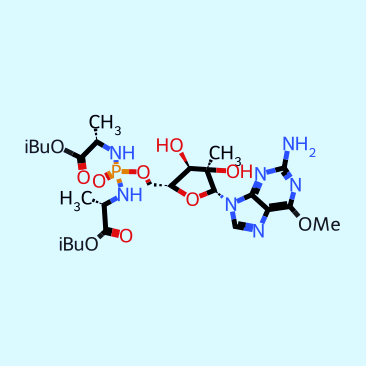 COc1nc(N)nc2c1ncn2[C@@H]1O[C@H](COP(=O)(N[C@@H](C)C(=O)OCC(C)C)N[C@@H](C)C(=O)OCC(C)C)[C@@H](O)[C@@]1(C)O